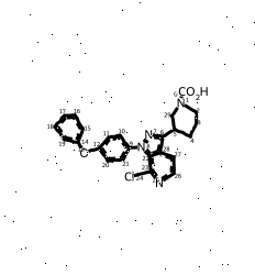 O=C(O)N1CCCC(c2nn(-c3ccc(Oc4ccccc4)cc3)c3c(Cl)nccc23)C1